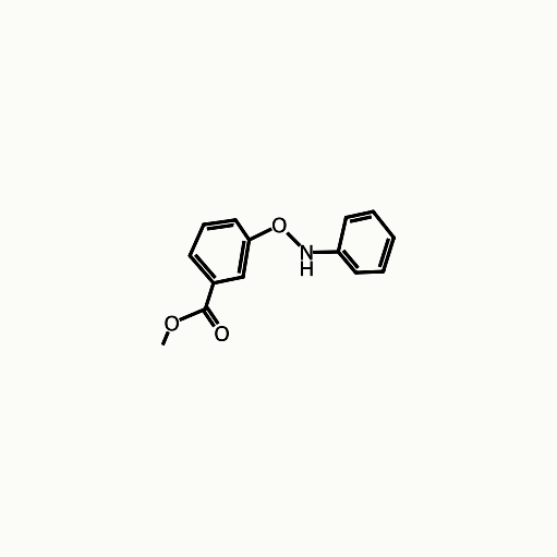 COC(=O)c1cccc(ONc2ccccc2)c1